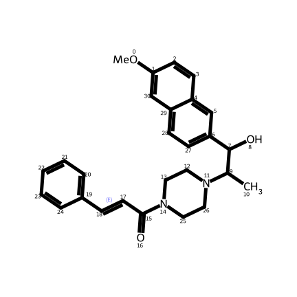 COc1ccc2cc(C(O)C(C)N3CCN(C(=O)/C=C/c4ccccc4)CC3)ccc2c1